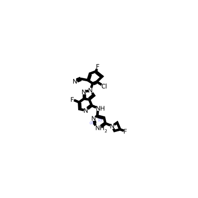 C=C(/C=C(\N=C/N)Nc1ncc(F)c2nn(-c3c(Cl)cc(F)cc3C#N)cc12)N1CC(F)C1